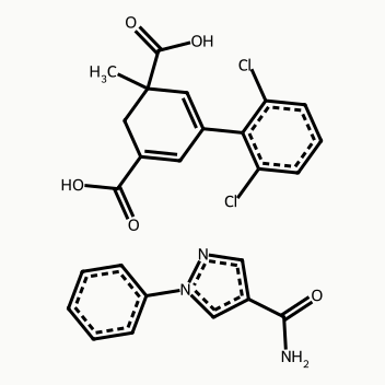 CC1(C(=O)O)C=C(c2c(Cl)cccc2Cl)C=C(C(=O)O)C1.NC(=O)c1cnn(-c2ccccc2)c1